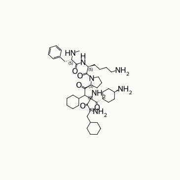 CN[C@@H](Cc1ccccc1)C(=O)N[C@@H](CCCCN)C(=O)N1CCC[C@H]1C(=O)C(C1CCCCC1)[C@@](N)(C(=O)[C@H](N)CC1CCCCC1)C(=O)[C@H]1CC[C@H](N)CC1